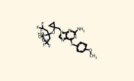 COc1ccc(Sc2nc(N)nc3c2ncn3CC2(OC(CC(F)(F)F)(CC(F)(F)F)P(=O)(O)O)CC2)cc1